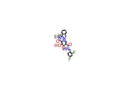 CCN1C(=O)c2c(O)c(=O)c(C(=O)NCc3ccc(F)cc3F)cn2N2Cc3ccccc3[C@@H]12